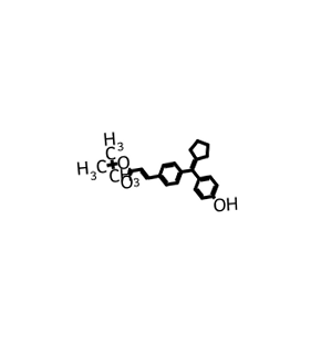 CC(C)(C)OC(=O)/C=C/c1ccc(C(=C2CCCC2)c2ccc(O)cc2)cc1